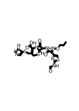 CCCON=C(C(=O)NC1C(=O)N2C(C(=O)O)=C(CSc3cnn[nH]3)CS[C@@H]12)c1csc(NC=O)n1